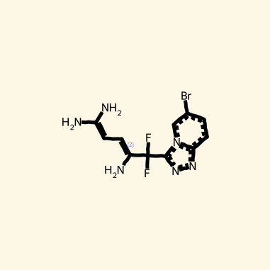 NC(N)=C/C=C(\N)C(F)(F)c1nnc2ccc(Br)cn12